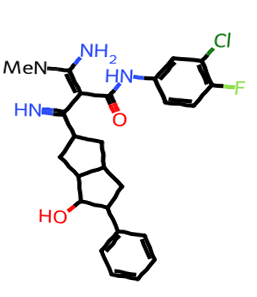 CN/C(N)=C(\C(=N)C1CC2CC(c3ccccc3)C(O)C2C1)C(=O)Nc1ccc(F)c(Cl)c1